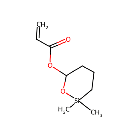 C=CC(=O)OC1CCC[Si](C)(C)O1